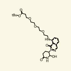 CC(C)(C)OC(=O)CCOCCOCCOCCNc1cccc2cnn(C3CCC(=O)NC3O)c(=O)c12